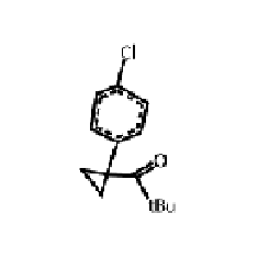 CC(C)(C)C(=O)C1(c2ccc(Cl)cc2)CC1